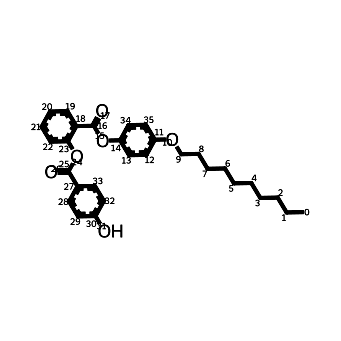 CCCCCCCCCCOc1ccc(OC(=O)c2ccccc2OC(=O)c2ccc(O)cc2)cc1